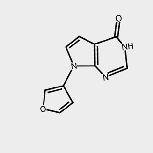 O=c1[nH]cnc2c1ccn2-c1ccoc1